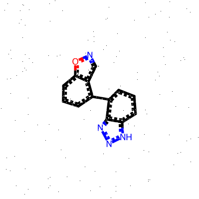 [c]1noc2cccc(-c3cccc4[nH]nnc34)c12